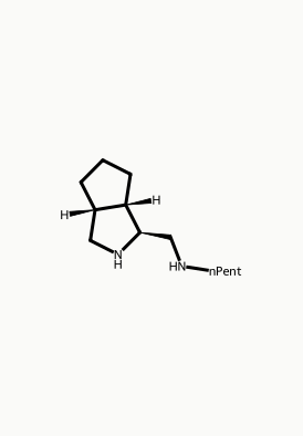 CCCCCNC[C@H]1NC[C@@H]2CCC[C@@H]21